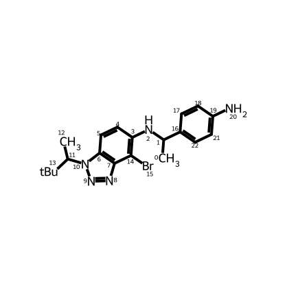 CC(Nc1ccc2c(nnn2C(C)C(C)(C)C)c1Br)c1ccc(N)cc1